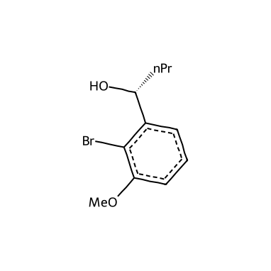 CCC[C@@H](O)c1cccc(OC)c1Br